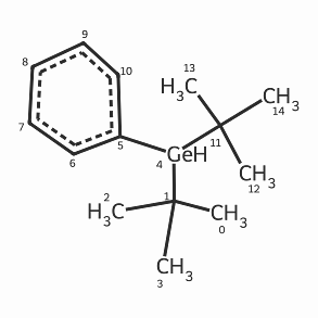 C[C](C)(C)[GeH]([c]1ccccc1)[C](C)(C)C